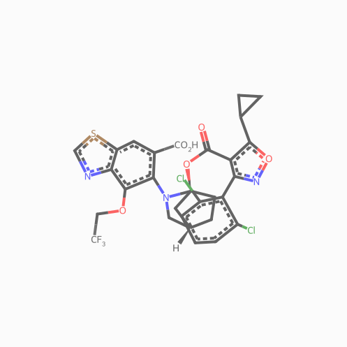 O=C(O)c1cc2scnc2c(OCC(F)(F)F)c1N1C[C@H]2CC[C@]1(OC(=O)c1c(-c3c(Cl)cccc3Cl)noc1C1CC1)C2